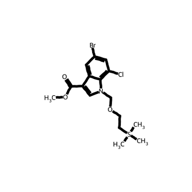 COC(=O)c1cn(COCCS(C)(C)C)c2c(Cl)cc(Br)cc12